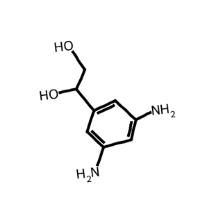 Nc1cc(N)cc(C(O)CO)c1